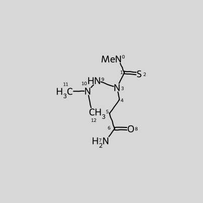 CNC(=S)N(CCC(N)=O)NN(C)C